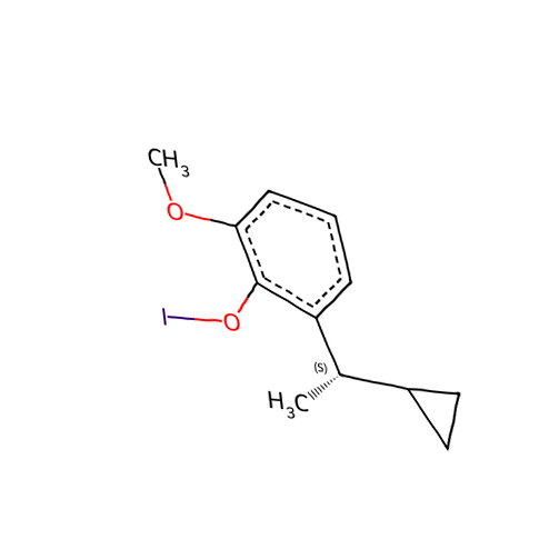 COc1cccc([C@@H](C)C2CC2)c1OI